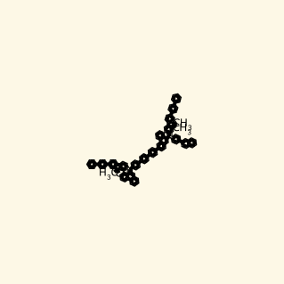 CC1(C)c2cc(-c3ccc(-c4ccccc4)cc3)ccc2-c2ccc(N(c3ccc(-c4ccc(-c5ccc(-c6ccc7cc(N(c8ccc(-c9ccc%10ccccc%10c9)cc8)c8ccc9c(c8)C(C)(C)c8cc(-c%10ccc(-c%11ccccc%11)cc%10)ccc8-9)c8ccccc8c7c6)cc5)cc4)cc3)c3cc4ccccc4c4ccccc34)cc21